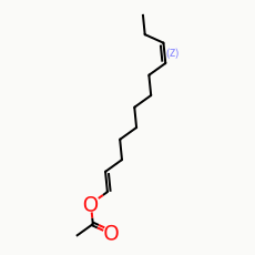 CC/C=C\CCCCCCC=COC(C)=O